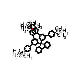 C[Si](C)(C)c1ccc(-c2cc(-c3ccc([Si](C)(C)C)cc3)cc(C3(c4cc(-c5ccc([Si](C)(C)C)cc5)cc(-c5ccc([Si](C)(C)C)cc5)c4)c4ccccc4-c4ccccc43)c2)cc1